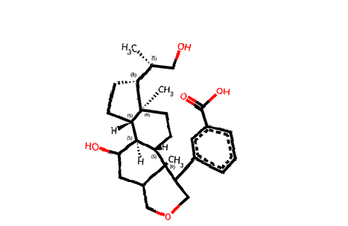 C[C@H](CO)[C@H]1CC[C@H]2[C@@H]3C(O)CC4COCC(c5cccc(C(=O)O)c5)[C@]4(C)[C@H]3CC[C@]12C